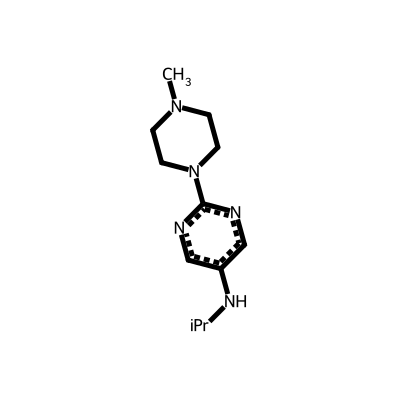 CC(C)Nc1cnc(N2CCN(C)CC2)nc1